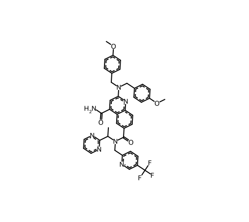 COc1ccc(CN(Cc2ccc(OC)cc2)c2cc(C(N)=O)c3cc(C(=O)N(Cc4ccc(C(F)(F)F)cn4)C(C)c4ncccn4)ccc3n2)cc1